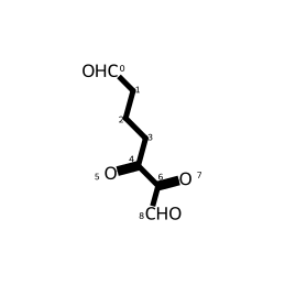 O=CCCCC(=O)C(=O)C=O